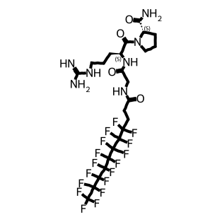 N=C(N)NCCC[C@H](NC(=O)CNC(=O)CCC(F)(F)C(F)(F)C(F)(F)C(F)(F)C(F)(F)C(F)(F)C(F)(F)C(F)(F)F)C(=O)N1CCC[C@H]1C(N)=O